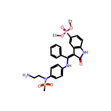 CCOP(=O)(OCC)c1ccc2c(c1)/C(=C(/Nc1ccc(N(CCN)S(C)(=O)=O)cc1)c1ccccc1)C(=O)N2